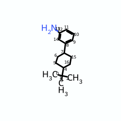 CC(C)(C)C1CCC(c2cccc(N)c2)CC1